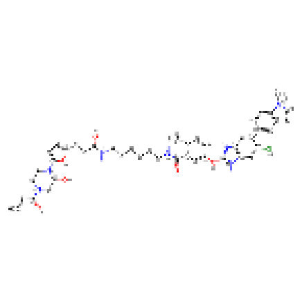 C=CC(=O)N1CCN(c2ccc(CCC(=O)NCCCCCCNC(=O)c3cc(Oc4nc5cc(-c6ccc7c(ccn7C)c6)c(Cl)cc5[nH]4)ccc3C)o2)C(=O)C1